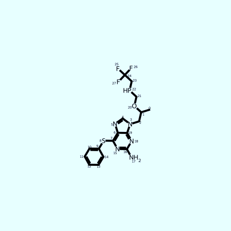 CC(Cn1cnc2c(Sc3ccccc3)nc(N)nc21)OCPCC(F)(F)F